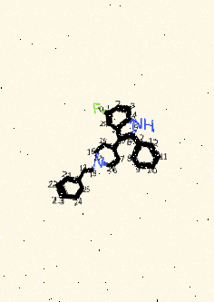 Fc1ccc2[nH]c(-c3ccccc3)c(C3CCN(CCc4ccccc4)CC3)c2c1